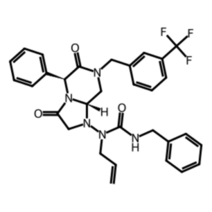 C=CCN(C(=O)NCc1ccccc1)N1CC(=O)N2[C@@H](c3ccccc3)C(=O)N(Cc3cccc(C(F)(F)F)c3)C[C@@H]21